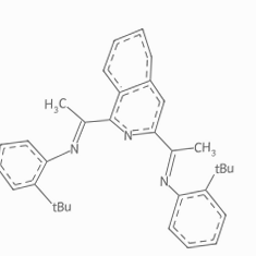 C/C(=N\c1ccccc1C(C)(C)C)c1cc2ccccc2c(/C(C)=N/c2ccccc2C(C)(C)C)n1